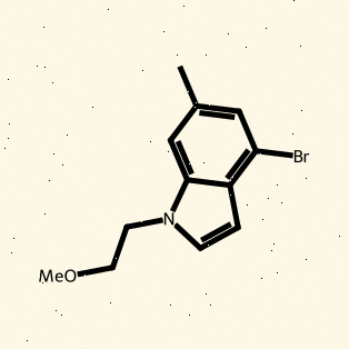 COCCn1ccc2c(Br)cc(C)cc21